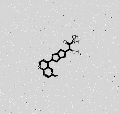 CNC(=O)C(C)C1CC2CC(C3=CC=NC4C=CC(F)=CC34)CC2C1